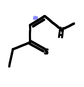 CCC(=S)/C=C\NC